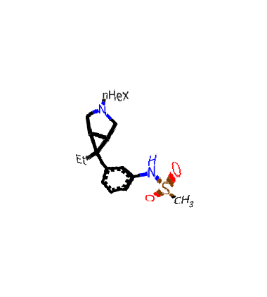 CCCCCCN1CC2C(C1)C2(CC)c1cccc(NS(C)(=O)=O)c1